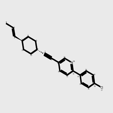 CC=C[C@H]1CC[C@H](C#Cc2ccc(-c3ccc(Cl)cc3)nc2)CC1